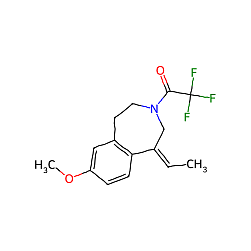 CC=C1CN(C(=O)C(F)(F)F)CCc2cc(OC)ccc21